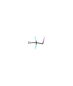 CCC(F)(F)CI